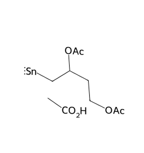 CC(=O)O.CC(=O)OCCC([CH2][Sn])OC(C)=O